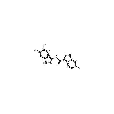 Cc1ccn2c(C(=O)Nc3c[nH]c4cc(F)c(F)cc34)cnc2c1